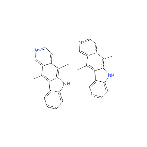 Cc1c2ccncc2c(C)c2c1[nH]c1ccccc12.Cc1c2ccncc2c(C)c2c1[nH]c1ccccc12